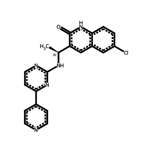 C[C@H](Nc1nccc(-c2ccncc2)n1)c1cc2cc(Cl)ccc2[nH]c1=O